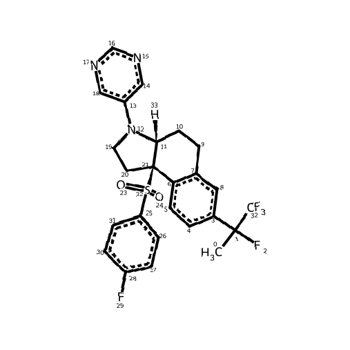 CC(F)(c1ccc2c(c1)CC[C@H]1N(c3cncnc3)CC[C@@]21S(=O)(=O)c1ccc(F)cc1)C(F)(F)F